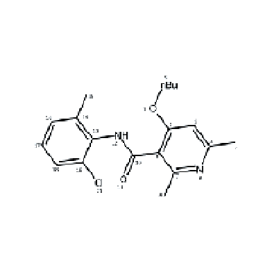 CCCCOc1cc(C)nc(C)c1C(=O)Nc1c(C)cccc1Cl